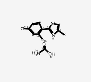 Cc1csc(-c2ccc(Cl)cc2C)n1.NC(=O)O